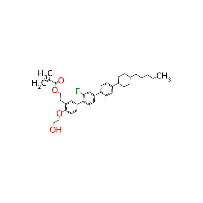 C=C(C)C(=O)OCCc1cc(-c2ccc(-c3ccc(C4CCC(CCCCC)CC4)cc3)cc2F)ccc1OCCO